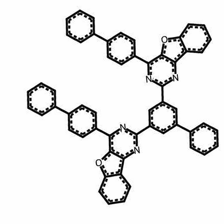 c1ccc(-c2ccc(-c3nc(-c4cc(-c5ccccc5)cc(-c5nc(-c6ccc(-c7ccccc7)cc6)c6oc7ccccc7c6n5)c4)nc4c3oc3ccccc34)cc2)cc1